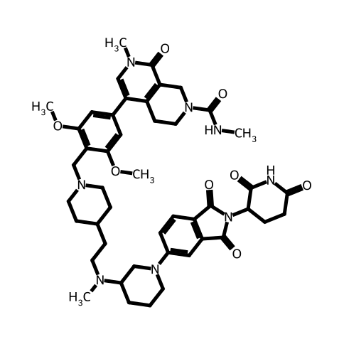 CNC(=O)N1CCc2c(-c3cc(OC)c(CN4CCC(CCN(C)C5CCCN(c6ccc7c(c6)C(=O)N(C6CCC(=O)NC6=O)C7=O)C5)CC4)c(OC)c3)cn(C)c(=O)c2C1